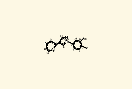 Cc1ccc(-n2cc(-c3ccccn3)cn2)cc1C